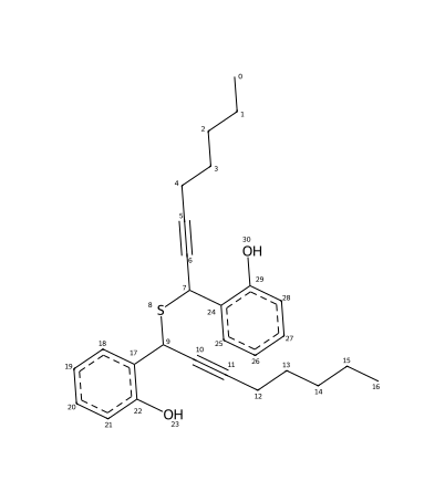 CCCCCC#CC(SC(C#CCCCCC)c1ccccc1O)c1ccccc1O